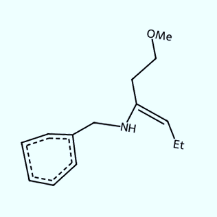 CC/C=C(/CCOC)NCc1ccccc1